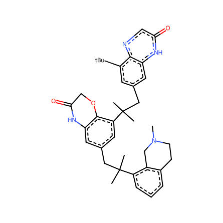 CN1CCc2cccc(C(C)(C)Cc3cc4c(c(C(C)(C)Cc5cc(C(C)(C)C)c6ncc(=O)[nH]c6c5)c3)OCC(=O)N4)c2C1